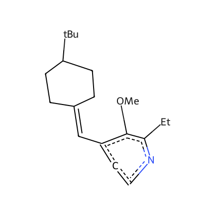 CCc1nccc(C=C2CCC(C(C)(C)C)CC2)c1OC